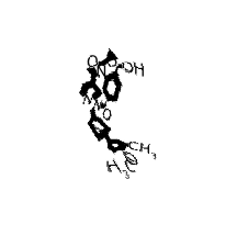 COc1ccc(C23CCC(CN(c4cc(-c5coc(C6CC6)n5)ccn4)C(=O)[C@H]4CC[C@H](C(=O)O)CC4)(CC2)CC3)cc1C